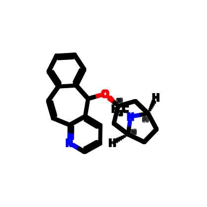 CN1[C@@H]2CC[C@H]1C[C@@H](OC1c3ccccc3C=Cc3ncccc31)C2